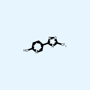 Oc1ccc(-c2noc(C(F)(F)F)n2)cn1